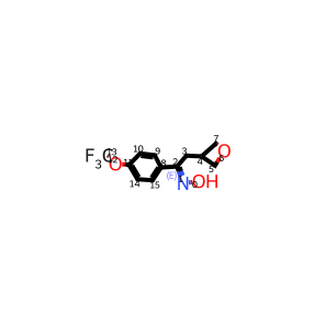 O/N=C(\CC1COC1)c1ccc(OC(F)(F)F)cc1